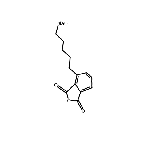 CCCCCCCCCCCCCCCc1cccc2c1C(=O)OC2=O